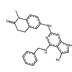 CN1C(=O)CCc2cc(Nc3nc(NCc4ccccc4)c4c(C#N)c[nH]c4n3)ccc21